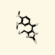 COc1ccc(C(=O)c2[nH]c(=O)[nH]c2CBr)cc1OC